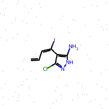 C=C/C=C(/I)c1c(Cl)n[nH]c1N